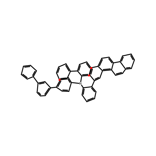 c1ccc(-c2cccc(-c3ccc(N(c4ccccc4-c4ccccc4)c4ccccc4-c4ccc5ccc6c7ccccc7ccc6c5c4)cc3)c2)cc1